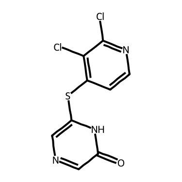 O=c1cncc(Sc2ccnc(Cl)c2Cl)[nH]1